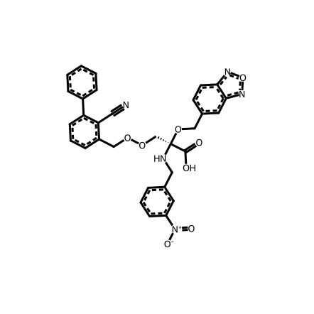 N#Cc1c(COOC[C@](NCc2cccc([N+](=O)[O-])c2)(OCc2ccc3nonc3c2)C(=O)O)cccc1-c1ccccc1